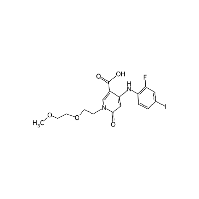 COCCOCCn1cc(C(=O)O)c(Nc2ccc(I)cc2F)cc1=O